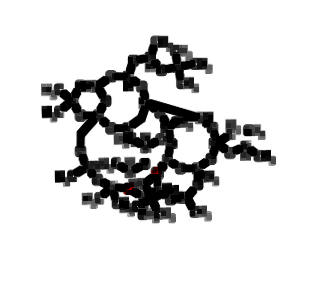 C[SiH](C)O[SiH](C)O[SiH](C)[SiH]1O[SiH](C)O[Si]2(C)O[Si](C)(O[SiH](C)C)O[SiH]3O[Si]4(C)O[Si](O1)(O[SiH](C(C)(C)C)O[Si](C)(C)O[SiH](C)OC[Si]15O[SiH2]C[Si]3(O[SiH](O[SiH](C)O[Si](C)(C)C)O[SiH](O[Si](C)(C)O1)O5)O4)O2